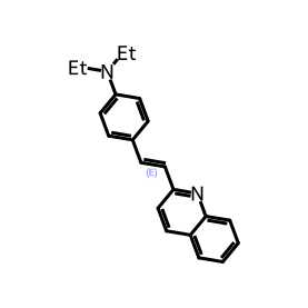 CCN(CC)c1ccc(/C=C/c2ccc3ccccc3n2)cc1